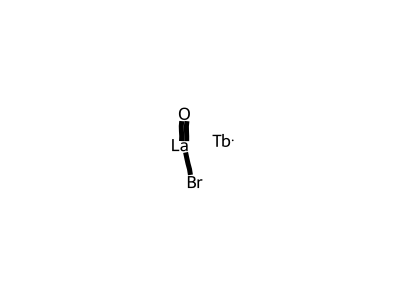 [O]=[La][Br].[Tb]